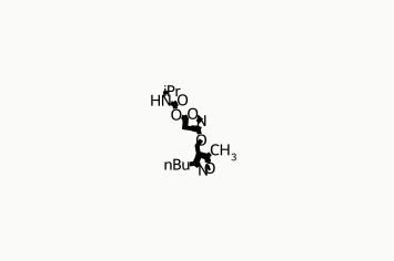 CCCCc1noc(C)c1COc1cc(OC(=O)NC(C)C)on1